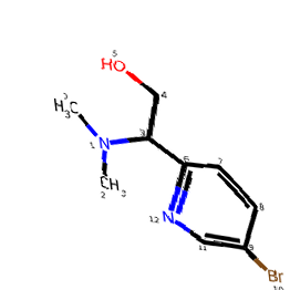 CN(C)C(CO)c1ccc(Br)cn1